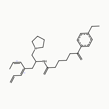 C=C/C=C(\C=C/C)CC(CN1CCCC1)NC(=C)CCCCC(=C)c1ccc(CC)cc1